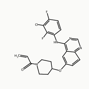 C=CC(=O)N1CCC(Oc2ccc3ncnc(Nc4ccc(F)c(Cl)c4F)c3c2)CC1